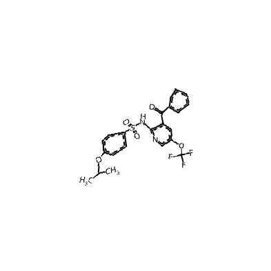 CC(C)Oc1ccc(S(=O)(=O)Nc2ncc(OC(F)(F)F)cc2C(=O)c2ccccc2)cc1